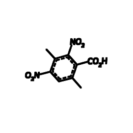 Cc1cc([N+](=O)[O-])c(C)c([N+](=O)[O-])c1C(=O)O